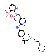 CC1(C)CN(CCCN2CCCCC2)Cc2cc(Nc3nccc4c3CCN(c3ncccc3S(C)(=O)=O)C4)ccc21